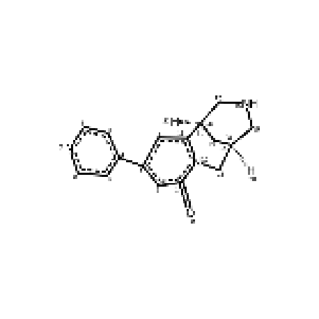 O=c1cc(-c2ccncc2)cc2n1C[C@@H]1CNC[C@H]2C1